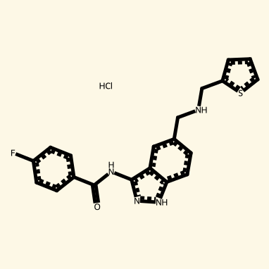 Cl.O=C(Nc1n[nH]c2ccc(CNCc3cccs3)cc12)c1ccc(F)cc1